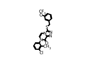 Cc1c(Cl)cccc1-n1ccn2c(SCc3cccc(OC(F)(F)F)c3)nnc2c1=O